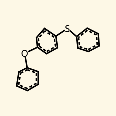 c1ccc(Oc2ccc(Sc3ccccc3)cc2)cc1